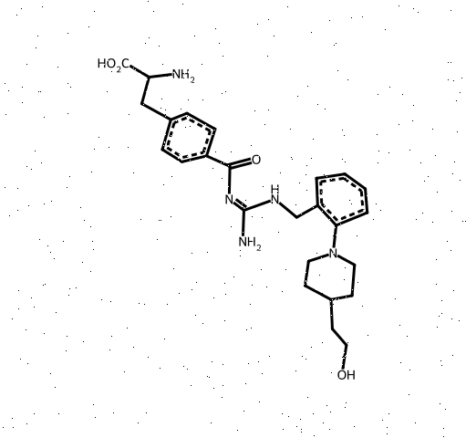 NC(=NC(=O)c1ccc(CC(N)C(=O)O)cc1)NCc1ccccc1N1CCC(CCO)CC1